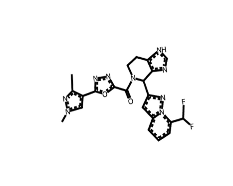 Cc1nn(C)cc1-c1nnc(C(=O)N2CCc3[nH]cnc3C2c2cc3cccc(C(F)F)n3n2)o1